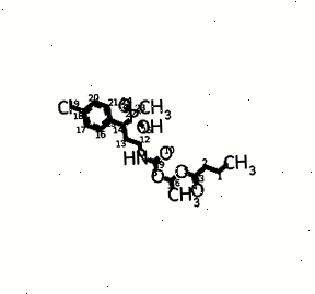 CCCC(=O)OC(C)OC(=O)NCCC(c1ccc(Cl)cc1)P(C)(=O)O